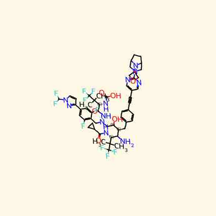 CC(C)([C@H](NC(=O)O)C(=O)NN(Cc1c(F)cc(-c2ccn(C(F)F)n2)cc1F)C[C@@H](O)[C@@H](Cc1ccc(C#Cc2cnc(N3CC4CCC(C3)N4C3COC3)nc2)cc1)C(N)[C@@H](NC(=O)C1CC1)C(C)(C)C(F)(F)F)C(F)(F)F